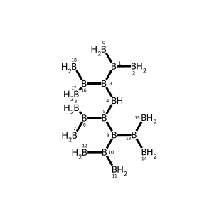 BB(B)B(BB(B(B)B)B(B(B)B)B(B)B)B(B)B